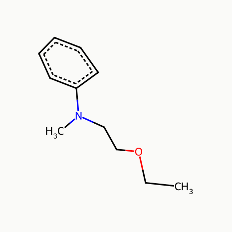 CCOCCN(C)c1ccccc1